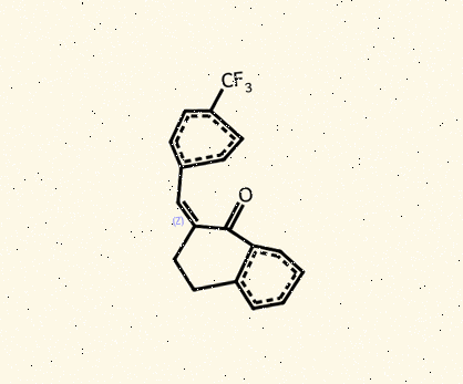 O=C1/C(=C\c2ccc(C(F)(F)F)cc2)CCc2ccccc21